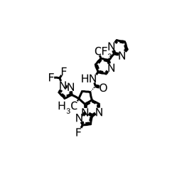 C[C@@]1(c2ccn(C(F)F)n2)C[C@H](C(=O)Nc2cnc(-c3ncccn3)c(C(F)(F)F)c2)c2cnc3cc(F)nn3c21